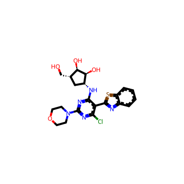 OC[C@H]1C[C@@H](Nc2nc(N3CCOCC3)nc(Cl)c2-c2nc3ccccc3s2)[C@H](O)[C@@H]1O